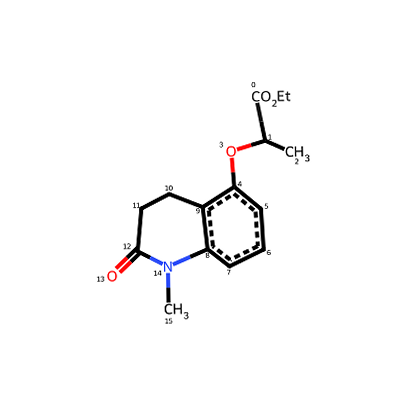 CCOC(=O)C(C)Oc1cccc2c1CCC(=O)N2C